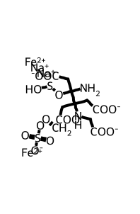 C=O.NC(CC(=O)[O-])(OSO)C(CC(=O)[O-])(CC(=O)[O-])NCC(=O)[O-].O=S(=O)([O-])[O-].[Fe+2].[Fe+2].[Na+].[Na+]